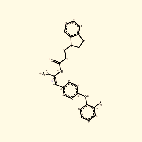 O=C(CCC1CCc2ccccc21)N/C(=C\c1ccc(Oc2ccccc2Br)cc1)C(=O)O